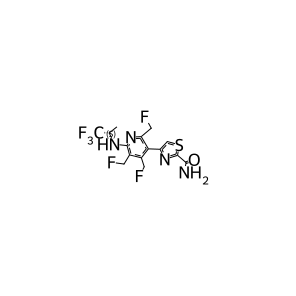 C[C@H](Nc1nc(CF)c(-c2csc(C(N)=O)n2)c(CF)c1CF)C(F)(F)F